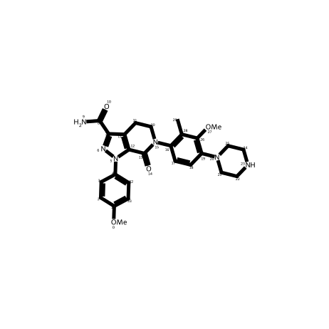 COc1ccc(-n2nc(C(N)=O)c3c2C(=O)N(c2ccc(N4CCNCC4)c(OC)c2C)CC3)cc1